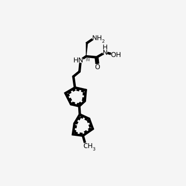 Cc1ccc(-c2ccc(CCN[C@@H](CN)C(=O)NO)cc2)cc1